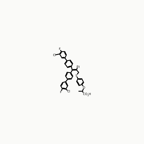 CCC(CSc1ccc(OC(C)C(=O)O)cc1)=C(c1ccc(-c2ccc(F)c(Cl)c2)cc1)c1ccc(-c2ccc(F)c(Cl)c2)cc1